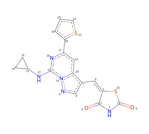 O=C1NC(=O)/C(=C\c2cnn3c(NC4CC4)nc(-c4cccs4)cc23)S1